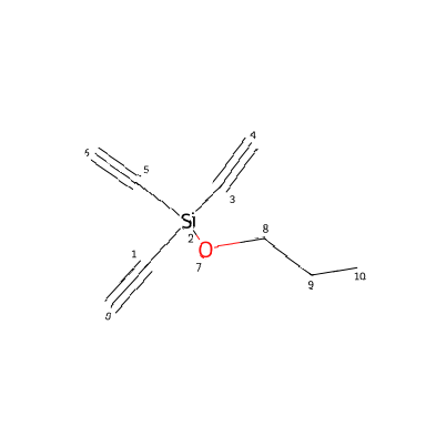 C#C[Si](C#C)(C#C)OCCC